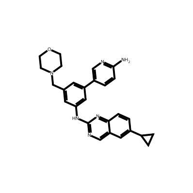 Nc1ccc(-c2cc(CN3CCOCC3)cc(Nc3ncc4cc(C5CC5)ccc4n3)c2)cn1